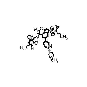 C=CCC(C1CC1)S(=O)(=O)n1cc(C)c2c(C(=O)NCc3c(C)cc(C)[nH]c3=O)cc(-c3ccc(N4CCN(C)CC4)nc3)cc21